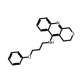 c1ccc(OCCCNc2c3c(nc4ccccc24)CSCC3)cc1